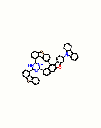 C1=Cc2c(n(-c3ccc4c(c3)oc3cccc(-c5ccc6sc7cccc(C8NC(c9cccc%10sc%11ccccc%11c9%10)=NC(c9ccccc9)N8)c7c6c5)c34)c3ccccc23)CC1